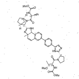 COC(=O)N[C@H](C(=O)N1[C@@H]2CC[C@@H](C2)[C@H]1C1=NC2(C)C=Cc3cc(-c4ccc(-c5cnc([C@@H]6CCCN6C(=O)[C@@H](NC(=O)OC)[C@@H](C)OC)[nH]5)cc4)ccc3C2N1)C(C)C